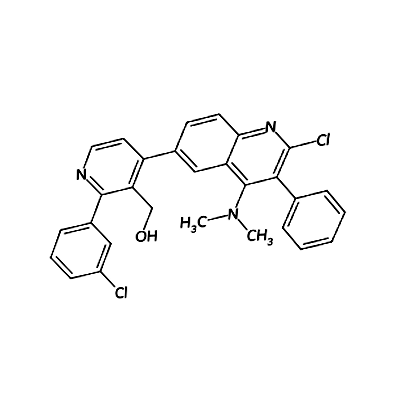 CN(C)c1c(-c2ccccc2)c(Cl)nc2ccc(-c3ccnc(-c4cccc(Cl)c4)c3CO)cc12